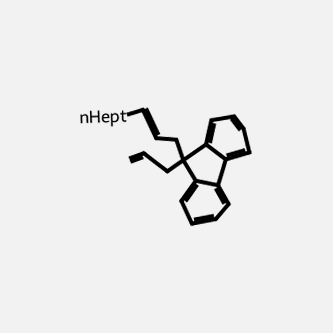 C=CCC1(C/C=C/CCCCCCC)c2ccccc2-c2ccccc21